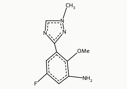 COc1c(N)cc(F)cc1-c1ncn(C)n1